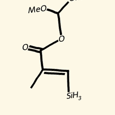 COC(OC)OC(=O)C(C)=C[SiH3]